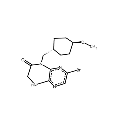 CO[C@H]1CC[C@H](CN2C(=O)CNc3ncc(Br)nc32)CC1